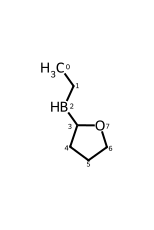 CCBC1CCCO1